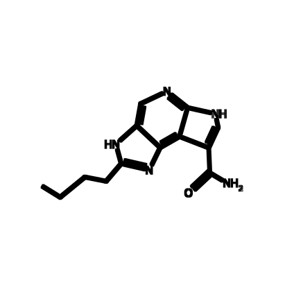 CCCCc1nc2c(cnc3[nH]cc(C(N)=O)c32)[nH]1